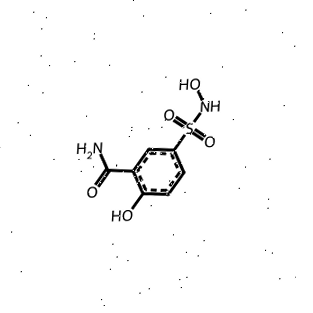 NC(=O)c1cc(S(=O)(=O)NO)ccc1O